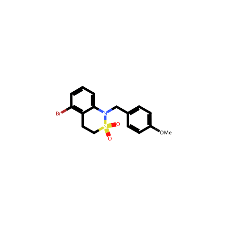 COc1ccc(CN2c3cccc(Br)c3CCS2(=O)=O)cc1